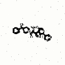 COc1cnc(-c2cncnc2)c2[nH]cc(C(=O)C(=O)N3CCC(=C(C#N)c4ccccc4)CC3)c12